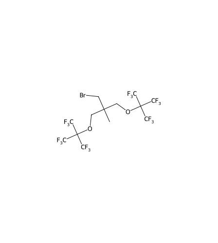 CC(CBr)(COC(C(F)(F)F)(C(F)(F)F)C(F)(F)F)COC(C(F)(F)F)(C(F)(F)F)C(F)(F)F